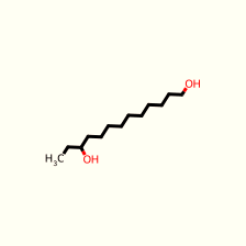 CCC(O)CCCCCCCCCCO